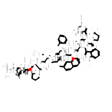 CC(=O)Oc1ccc(C[C@H](NC(=O)[C@H](CO)NC(=O)[C@H](Cc2c[nH]c3ccccc23)NC(=O)[C@H](Cc2c[nH]cn2)NC(=O)[C@@H]2CCC(=O)N2)C(=O)N[C@@H](Cc2ccc3ccccc3c2)C(=O)N[C@@H](CC(C)C)C(=O)N[C@@H](CCCNC(=N)N)C(=O)N2CCC[C@H]2C(=O)NNC(N)=O)cc1